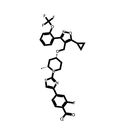 COC(=O)c1ccc(-c2csc(N3CC[C@@H](OCc4c(-c5ccccc5OC(F)(F)F)noc4C4CC4)C[C@H]3C)n2)cc1F